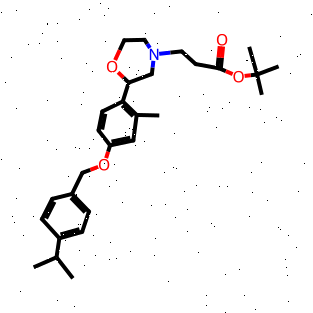 Cc1cc(OCc2ccc(C(C)C)cc2)ccc1C1CN(CCC(=O)OC(C)(C)C)CCO1